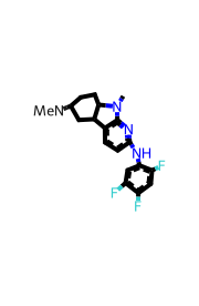 CNC1CCC2C(C1)c1ccc(Nc3cc(F)c(F)cc3F)nc1N2C